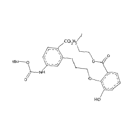 CC(C)(C)OC(=O)Nc1ccc(C(=O)O)c(CCCOc2c(O)cccc2C(=O)OCCSI)c1